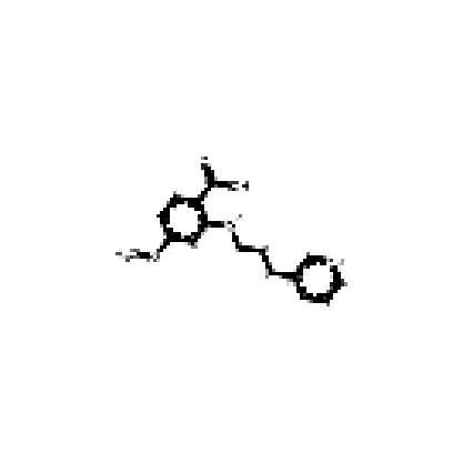 COc1ccc(C(=O)O)c(OCCCc2cccnc2)c1